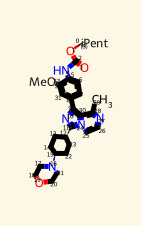 CCC[C@H](C)OC(=O)Nc1ccc(-c2nc([C@H]3CC[C@@H](N4CCOCC4)CC3)n3ccnc(C)c23)cc1OC